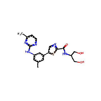 Cc1cc(Nc2nccc(C(F)(F)F)n2)cc(-c2cnc(C(=O)NC(CO)CO)s2)c1